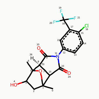 CC12CC(O)C(C)(O1)[C@H]1C(=O)N(c3ccc(Cl)c(C(F)(F)F)c3)C(=O)C12